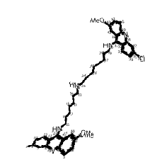 COc1ccc2nc3cc(C)ccc3c(NCCCCCCCNCCCCCCCNc3c4ccc(Cl)cc4nc4ccc(OC)cc34)c2c1